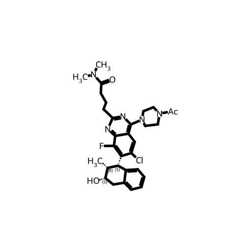 CC(=O)N1CCN(c2nc(CCCC(=O)N(C)C)nc3c(F)c([C@@H]4c5ccccc5C[C@H](O)[C@@H]4C)c(Cl)cc23)CC1